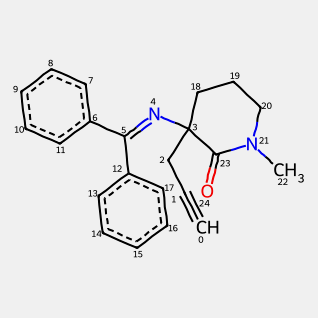 C#CCC1(N=C(c2ccccc2)c2ccccc2)CCCN(C)C1=O